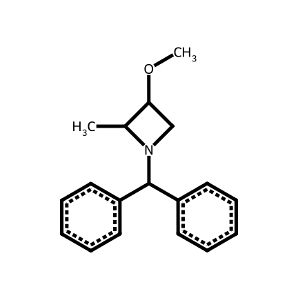 COC1CN(C(c2ccccc2)c2ccccc2)C1C